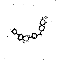 C[PH]1(O)OCC2(CCN(C(=O)c3ccc(C(=O)Nc4cc(-c5cccs5)ccc4N)cc3)CC2)CO1